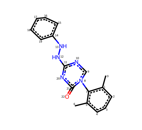 Cc1cccc(C)c1-n1cnc(NNc2ccccc2)nc1=O